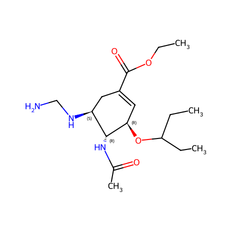 CCOC(=O)C1=C[C@@H](OC(CC)CC)[C@H](NC(C)=O)[C@@H](NCN)C1